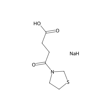 O=C(O)CCC(=O)N1CCSC1.[NaH]